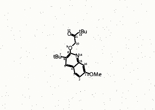 COc1ccc2cc(C(C)(C)C)c(OCC(=O)C(C)(C)C)nc2c1